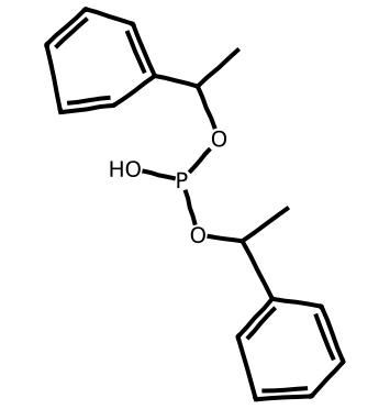 CC(OP(O)OC(C)c1ccccc1)c1ccccc1